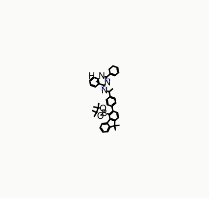 CC(/N=C(\N=C(/N)C1=CC=CCC1)c1ccccc1)c1ccc(-c2ccc3c(c2B2OC(C)(C)C(C)(C)O2)-c2ccccc2C3(C)C)cc1